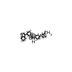 Cc1cn(-c2ccc(NS(=O)(=O)c3cccc(-c4csc5ccccc45)c3)cc2)cn1